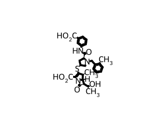 Cc1ccccc1CN1C[C@@H](SC2=C(C(=O)O)N3C(=O)[C@H]([C@@H](C)O)[C@H]3[C@H]2C)C[C@H]1C(=O)Nc1cccc(C(=O)O)c1